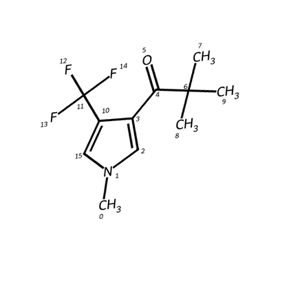 Cn1cc(C(=O)C(C)(C)C)c(C(F)(F)F)c1